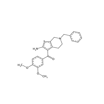 COc1ccc(C(=O)c2c(N)sc3c2CCN(Cc2ccccc2)C3)cc1OC